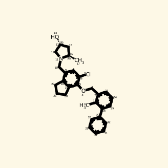 Cc1c(COc2c(Cl)cc(CN3C[C@H](O)C[C@H]3C)c3c2CCC3)cccc1-c1ccccc1